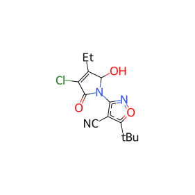 CCC1=C(Cl)C(=O)N(c2noc(C(C)(C)C)c2C#N)C1O